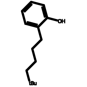 CC(C)(C)CCCCc1ccccc1O